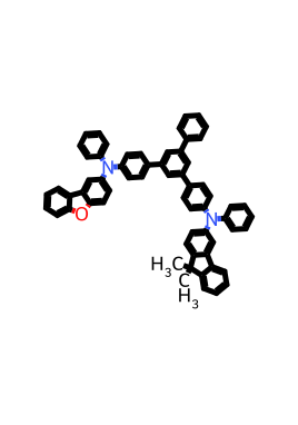 CC1(C)c2ccccc2-c2cc(N(c3ccccc3)c3ccc(-c4cc(-c5ccccc5)cc(-c5ccc(N(c6ccccc6)c6ccc7oc8ccccc8c7c6)cc5)c4)cc3)ccc21